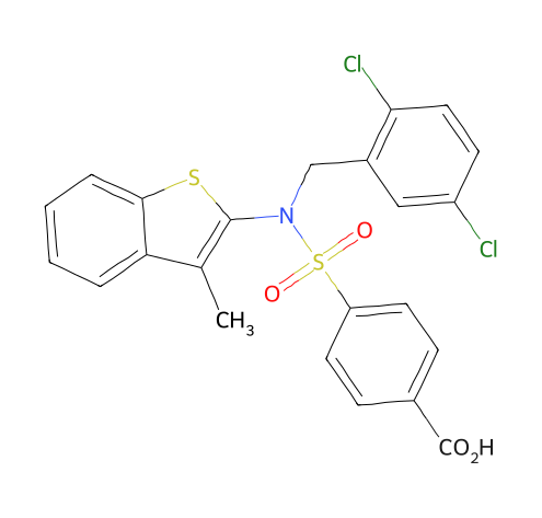 Cc1c(N(Cc2cc(Cl)ccc2Cl)S(=O)(=O)c2ccc(C(=O)O)cc2)sc2ccccc12